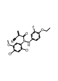 C=C(C#N)C(=O)N(Nc1ccc(OCC)c(F)c1)c1cc(OC)c(Cl)cc1Cl